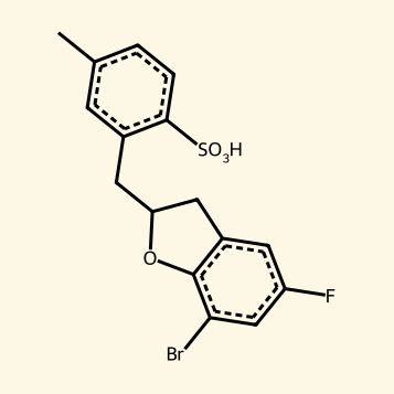 Cc1ccc(S(=O)(=O)O)c(CC2Cc3cc(F)cc(Br)c3O2)c1